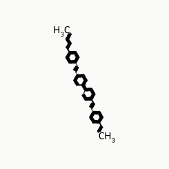 CCCCC[C@H]1CC[C@H](/C=C/[C@H]2CC[C@H]([C@H]3CC[C@H](/C=C/[C@H]4CC[C@H](CCC)CC4)CC3)CC2)CC1